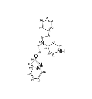 c1ccc(CCN(CCOc2cc3ccccn3n2)C2CCNCC2)cc1